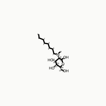 CCCCCCCCN(C)[C@H]1C(O)O[C@H](CO)[C@@H](O)[C@@H]1O